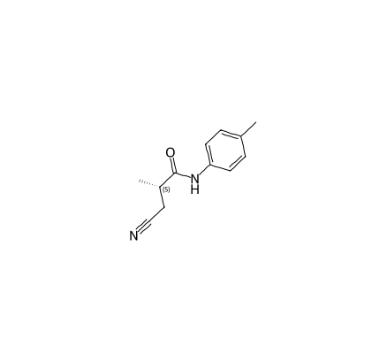 Cc1ccc(NC(=O)[C@@H](C)CC#N)cc1